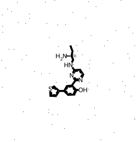 CC[C@H](N)CNc1ccnc(-c2cc(-c3ccsc3)ccc2O)n1